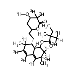 [2H]O[C@@H]1CC(CC[C@@H]2[C@@H]3C(=C([2H])[C@]([2H])(C)C([2H])([2H])C3OC(=O)C(C)(CC)C([2H])([2H])[2H])C([2H])=C([2H])[C@]2([2H])C)OC(=O)C1([2H])[2H]